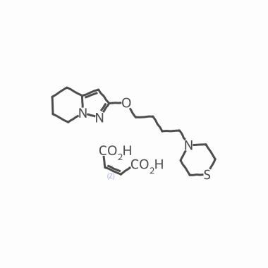 O=C(O)/C=C\C(=O)O.c1c(OCCCCN2CCSCC2)nn2c1CCCC2